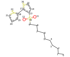 CCCCCCCCCCS(=O)(=O)c1ccsc1-c1cccs1